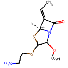 CC=C1C(=O)N2C(OC(=O)O)C(SCCN)S[C@@H]12